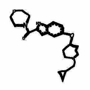 O=C(c1cc2cc(OC3CCN(CC4CC4)CC3)ccc2[nH]1)N1CCOCC1